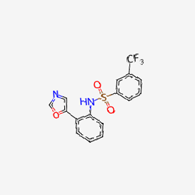 O=S(=O)(Nc1ccccc1-c1cnco1)c1cccc(C(F)(F)F)c1